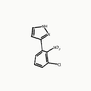 O=[N+]([O-])c1c(Cl)cccc1-c1cc[nH]n1